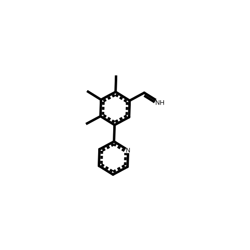 Cc1c(C=N)cc(-c2ccccn2)c(C)c1C